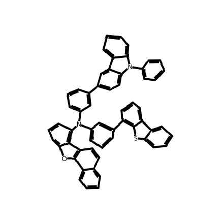 c1ccc(-n2c3ccccc3c3cc(-c4cccc(N(c5cccc(-c6cccc7c6sc6ccccc67)c5)c5cccc6oc7c8ccccc8ccc7c56)c4)ccc32)cc1